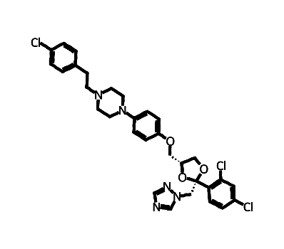 Clc1ccc(CCN2CCN(c3ccc(OC[C@@H]4CO[C@@](Cn5cncn5)(c5ccc(Cl)cc5Cl)O4)cc3)CC2)cc1